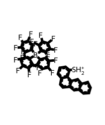 Fc1c(F)c(F)c([B-](c2c(F)c(F)c(F)c(F)c2F)(c2c(F)c(F)c(F)c(F)c2F)c2c(F)c(F)c(F)c(F)c2F)c(F)c1F.[SH2+]c1cccc2ccc3cc4ccccc4cc3c12